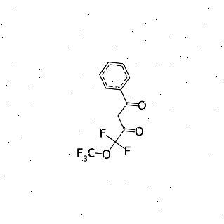 O=C(CC(=O)C(F)(F)OC(F)(F)F)c1ccccc1